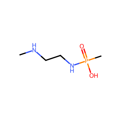 CNCCNP(C)(=O)O